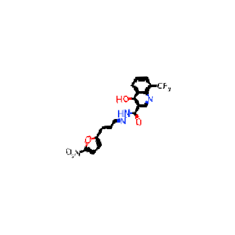 O=C(N/N=C/C=C/c1ccc([N+](=O)[O-])o1)c1cnc2c(C(F)(F)F)cccc2c1O